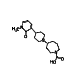 Cn1cccc(C2CCN(C3CCCN(C(=O)O)CC3)CC2)c1=O